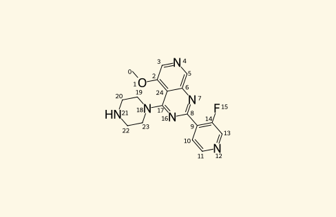 COc1cncc2nc(-c3ccncc3F)nc(N3CCNCC3)c12